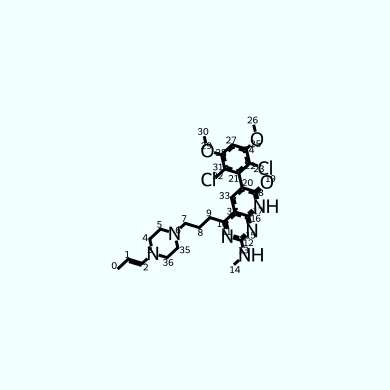 CC=CN1CCN(CCCc2nc(NC)nc3[nH]c(=O)c(-c4c(Cl)c(OC)cc(OC)c4Cl)cc23)CC1